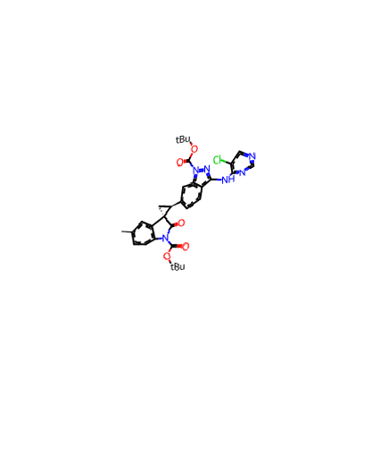 Cc1ccc2c(c1)[C@]1(C[C@H]1c1ccc3c(Nc4ncncc4Cl)nn(C(=O)OC(C)(C)C)c3c1)C(=O)N2C(=O)OC(C)(C)C